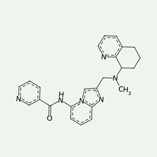 CN(Cc1cn2c(NC(=O)c3cccnc3)cccc2n1)C1CCCc2cccnc21